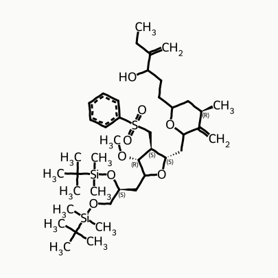 C=C(CC)C(O)CCC1C[C@@H](C)C(=C)C(C[C@@H]2OC(C[C@@H](CO[Si](C)(C)C(C)(C)C)O[Si](C)(C)C(C)(C)C)[C@H](OC)[C@H]2CS(=O)(=O)c2ccccc2)O1